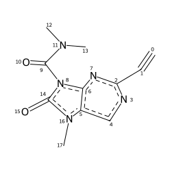 C#Cc1ncc2c(n1)n(C(=O)N(C)C)c(=O)n2C